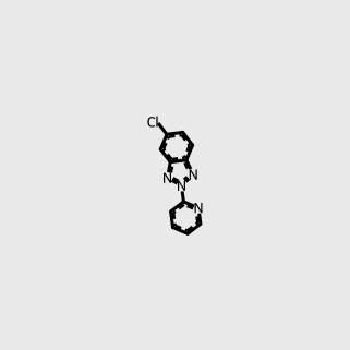 Clc1ccc2nn(-c3ccccn3)nc2c1